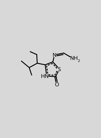 CCC(c1[nH]c(=O)sc1/N=C\N)C(C)C